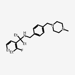 CC/C=C\C(=C(\F)CC)C(CC)(CC)NCc1ccc(CN2CCN(C)CC2)cc1